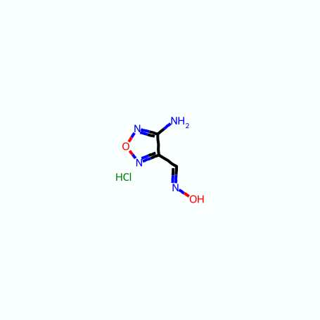 Cl.Nc1nonc1C=NO